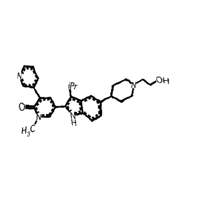 CC(C)c1c(-c2cc(-c3cccnc3)c(=O)n(C)c2)[nH]c2ccc(C3CCN(CCO)CC3)cc12